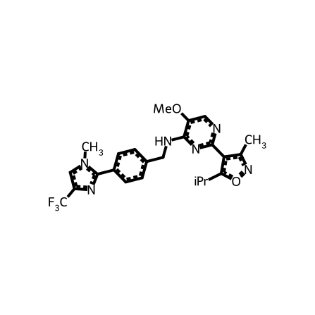 COc1cnc(-c2c(C)noc2C(C)C)nc1NCc1ccc(-c2nc(C(F)(F)F)cn2C)cc1